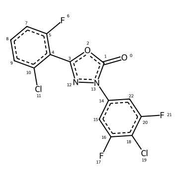 O=c1oc(-c2c(F)cccc2Cl)nn1-c1cc(F)c(Cl)c(F)c1